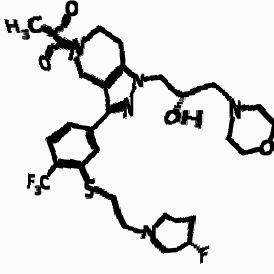 CS(=O)(=O)N1CCc2c(c(-c3ccc(C(F)(F)F)c(SCCN4CC[C@H](F)C4)c3)nn2C[C@@H](O)CN2CCOCC2)C1